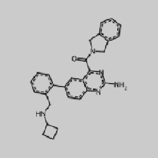 Nc1nc(C(=O)N2Cc3ccccc3C2)c2cc(-c3ccccc3CNC3CCC3)ccc2n1